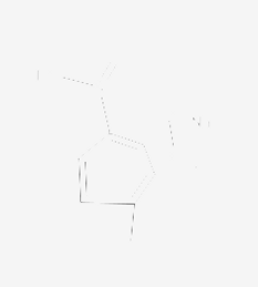 Cc1ccc(S(=O)O)cc1.O=C([O-])O.[Na+]